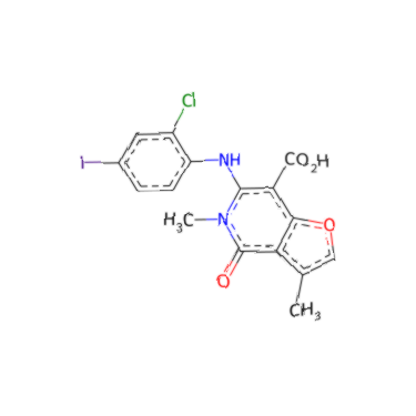 Cc1coc2c(C(=O)O)c(Nc3ccc(I)cc3Cl)n(C)c(=O)c12